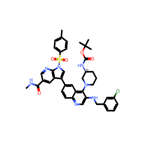 CNC(=O)c1cnc2c(c1)c(-c1ccc3ncc(NCc4cccc(Cl)c4)c(N4CCC[C@H](NC(=O)OC(C)(C)C)C4)c3c1)cn2S(=O)(=O)c1ccc(C)cc1